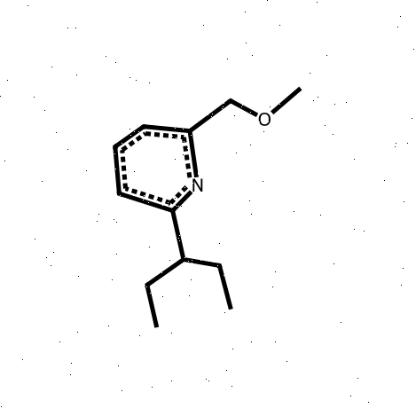 CCC(CC)c1cccc(COC)n1